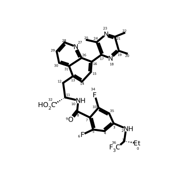 CC[C@@H](Nc1cc(F)c(C(=O)N[C@@H](Cc2ccc(-c3nc(C)c(C)nc3C)c3ncccc23)C(=O)O)c(F)c1)C(F)(F)F